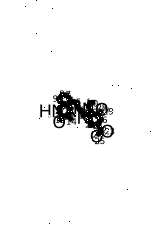 CCn1c(-c2cc3cccc4c3n2C(C)C(=O)N4)nc2cc(C(=O)OC)cc(OC)c21